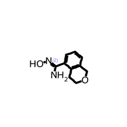 N/C(=N\O)c1cccc2c1CCOC2